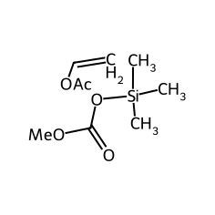 C=COC(C)=O.COC(=O)O[Si](C)(C)C